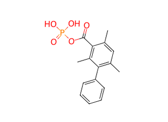 Cc1cc(C)c(-c2ccccc2)c(C)c1C(=O)OP(=O)(O)O